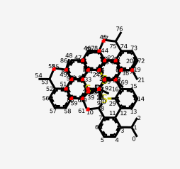 CC(C)c1cccc(C(C)C)c1-c1cccc(-c2c(C(C)C)cccc2C(C)C)c1[S][Bi]([S]c1c(-c2c(C(C)C)cccc2C(C)C)cccc1-c1c(C(C)C)cccc1C(C)C)[S]c1c(-c2c(C(C)C)cccc2C(C)C)cccc1-c1c(C(C)C)cccc1C(C)C